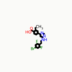 CCc1cc(-c2cc(NCCc3c(F)cc(Br)cc3F)ncn2)ccc1C(=O)O